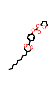 CCCCCCCCC1COC(c2ccc(OC(=O)O[C@@H]3CCCO3)cc2)OC1